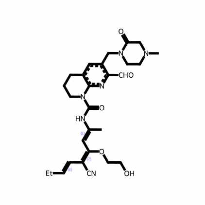 CC/C=C/C(C#N)=C(\C=C(/C)NC(=O)N1CCCc2cc(CN3CCN(C)CC3=O)c(C=O)nc21)OCCO